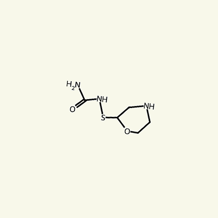 NC(=O)NSC1CNCCO1